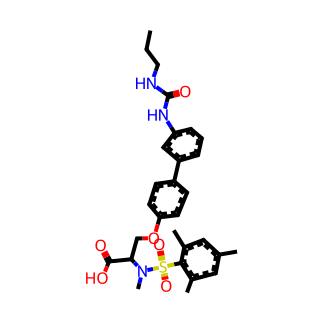 CCCNC(=O)Nc1cccc(-c2ccc(OCC(C(=O)O)N(C)S(=O)(=O)c3c(C)cc(C)cc3C)cc2)c1